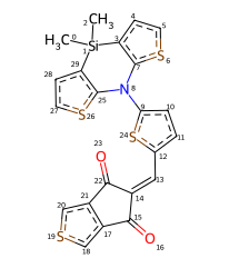 C[Si]1(C)c2ccsc2N(c2ccc(C=C3C(=O)c4cscc4C3=O)s2)c2sccc21